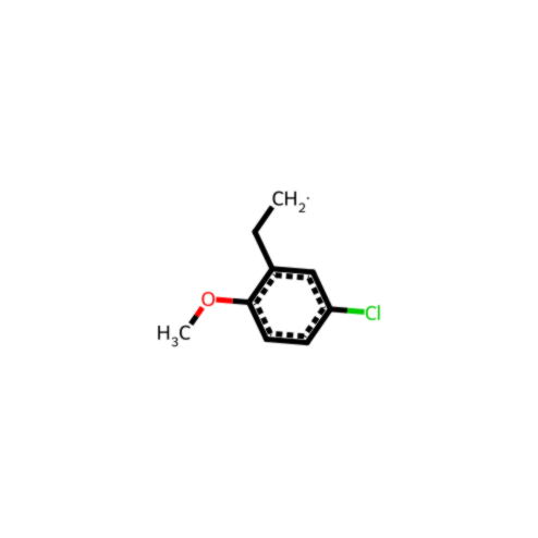 [CH2]Cc1cc(Cl)ccc1OC